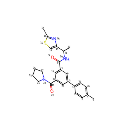 Cc1ccc(-c2cc(C(=O)NC(C)c3csc(C)n3)cc(C(=O)N3CCCC3)c2)cc1